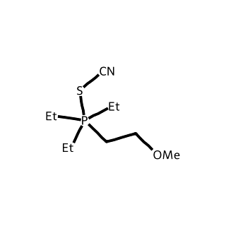 CCP(CC)(CC)(CCOC)SC#N